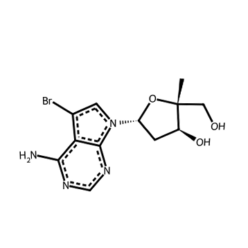 C[C@]1(CO)O[C@@H](n2cc(Br)c3c(N)ncnc32)C[C@@H]1O